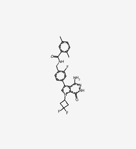 Cc1ccc(C)c(C(=O)NCc2ccc(-c3cn(C4CC(F)(F)C4)c4c(=O)[nH]nc(N)c34)cc2F)c1